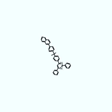 CC(C)(c1ccc(-c2ccc3ccccc3c2)cc1)c1ccc(-c2cc(-c3ccccc3)nc(-c3ccccc3)n2)cc1